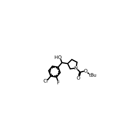 CC(C)(C)OC(=O)N1CCC(C(O)c2ccc(Cl)c(F)c2)C1